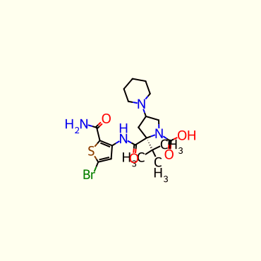 CC(C)(C)[C@]1(C(=O)Nc2cc(Br)sc2C(N)=O)CC(N2CCCCC2)CN1C(=O)O